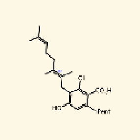 CCCCCc1cc(O)c(C/C(C)=C(\C)CCC=C(C)C)c(O)c1C(=O)O